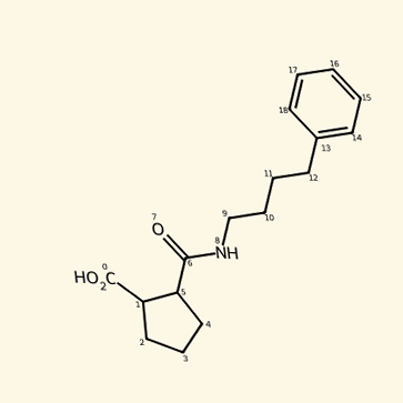 O=C(O)C1CCCC1C(=O)NCCCCc1ccccc1